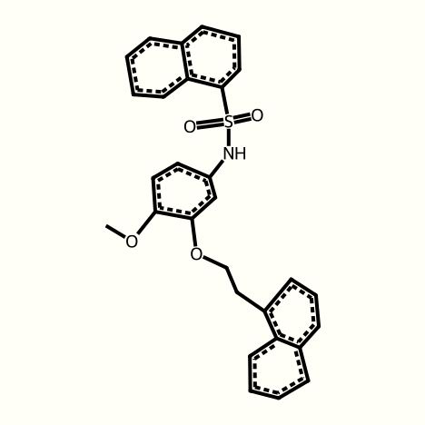 COc1ccc(NS(=O)(=O)c2cccc3ccccc23)cc1OCCc1cccc2ccccc12